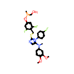 COc1ccc(N(C)c2cnc(SCc3c(F)cc(OP(C)CO)cc3F)n2-c2ccc(F)cc2)cc1OC